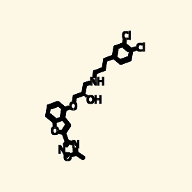 Cc1nc(-c2cc3c(OC[C@@H](O)CNCCCc4ccc(Cl)c(Cl)c4)cccc3o2)no1